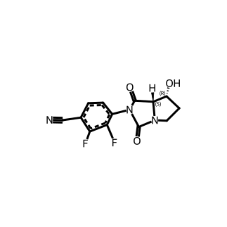 N#Cc1ccc(N2C(=O)[C@@H]3[C@H](O)CCN3C2=O)c(F)c1F